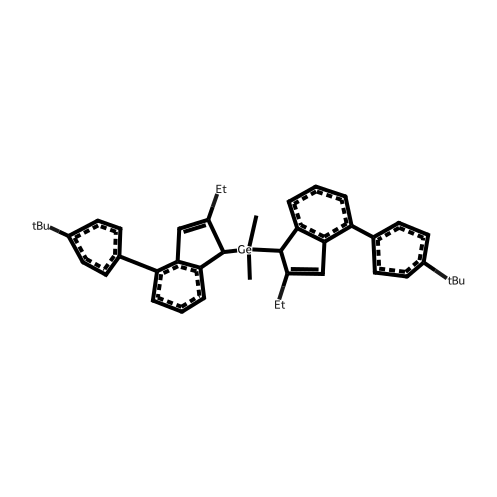 CCC1=Cc2c(-c3ccc(C(C)(C)C)cc3)cccc2[CH]1[Ge]([CH3])([CH3])[CH]1C(CC)=Cc2c(-c3ccc(C(C)(C)C)cc3)cccc21